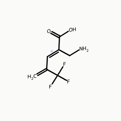 C=C(/C=C(\CN)C(=O)O)C(F)(F)F